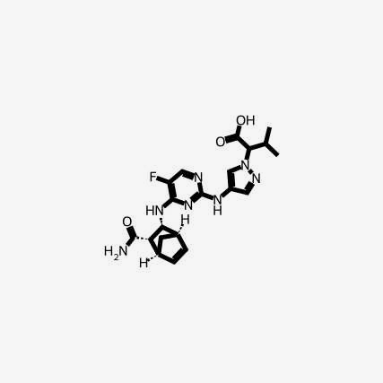 CC(C)C(C(=O)O)n1cc(Nc2ncc(F)c(N[C@H]3[C@@H](C(N)=O)[C@@H]4C=C[C@H]3C4)n2)cn1